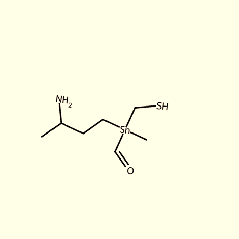 CC(N)C[CH2][Sn]([CH3])([CH]=O)[CH2]S